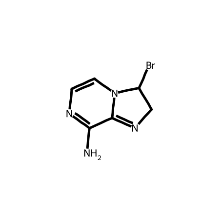 NC1=NC=CN2C1=NCC2Br